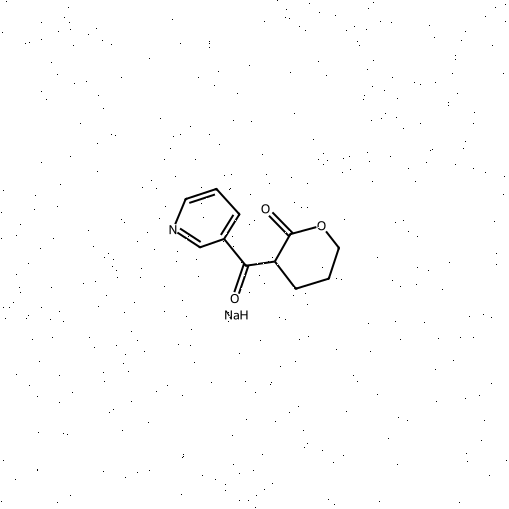 O=C1OCCCC1C(=O)c1cccnc1.[NaH]